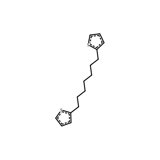 c1csc(CCCCCCCc2cccs2)c1